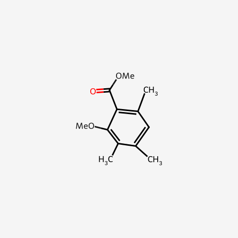 COC(=O)c1c(C)cc(C)c(C)c1OC